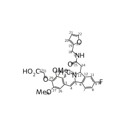 COc1cc(C=C2c3ccc(F)cc3C(CC(=O)NCc3ccco3)N2C)cc(OC)c1OCC(=O)O